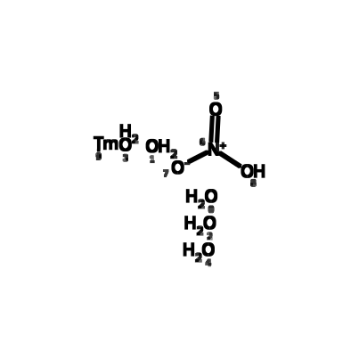 O.O.O.O.O.O=[N+]([O-])O.[Tm]